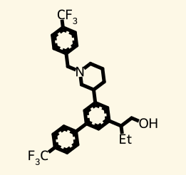 CCC(CO)c1cc(-c2ccc(C(F)(F)F)cc2)cc(C2CCCN(Cc3ccc(C(F)(F)F)cc3)C2)c1